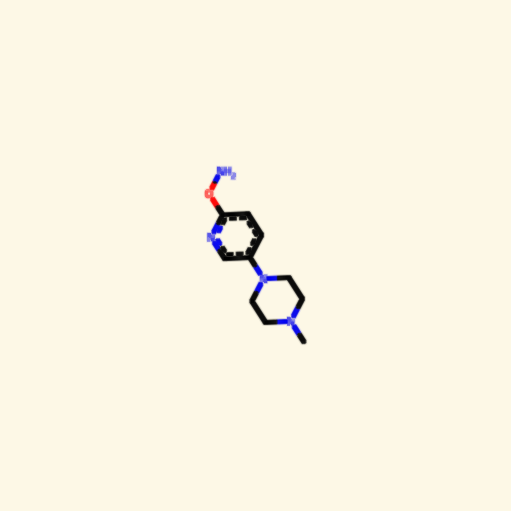 CN1CCN(c2ccc(ON)nc2)CC1